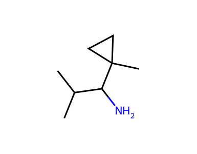 CC(C)C(N)C1(C)CC1